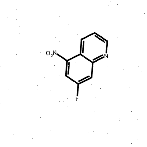 O=[N+]([O-])c1cc(F)cc2ncccc12